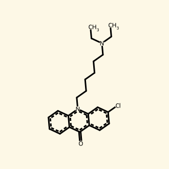 CCN(CC)CCCCCCn1c2ccccc2c(=O)c2ccc(Cl)cc21